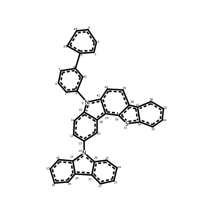 c1ccc(-c2cccc(-n3c4ccc(-n5c6ccccc6c6ccccc65)cc4c4c5sc6ccccc6c5ccc43)c2)cc1